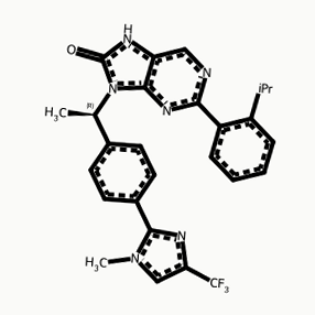 CC(C)c1ccccc1-c1ncc2[nH]c(=O)n([C@H](C)c3ccc(-c4nc(C(F)(F)F)cn4C)cc3)c2n1